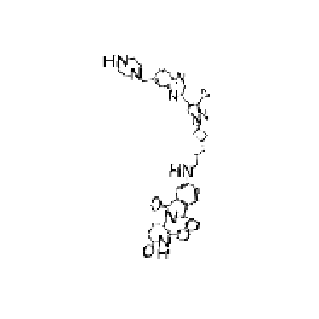 O=C1CCC(N2C(=O)c3ccc(NCCC[C@H]4C[C@H](n5cc(-c6cnc7ccc(CN8CCNCC8)cc7n6)c(C6CC6)n5)C4)cc3C2=O)C(=O)N1